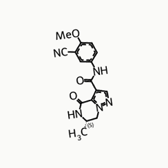 COc1ccc(NC(=O)c2cnn3c2C(=O)N[C@@H](C)C3)cc1C#N